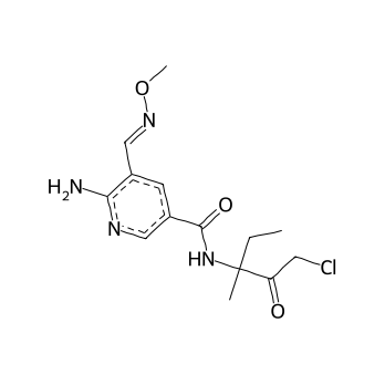 CCC(C)(NC(=O)c1cnc(N)c(/C=N/OC)c1)C(=O)CCl